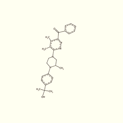 Cc1c(C(=O)c2ccccc2)nnc(N2CCN(c3ccc(C(C)(C)O)cc3)C(C)C2)c1C